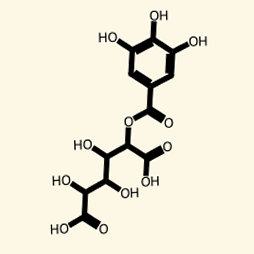 O=C(OC(C(=O)O)C(O)C(O)C(O)C(=O)O)c1cc(O)c(O)c(O)c1